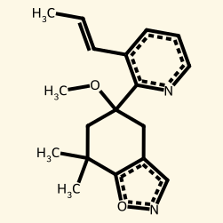 CC=Cc1cccnc1C1(OC)Cc2cnoc2C(C)(C)C1